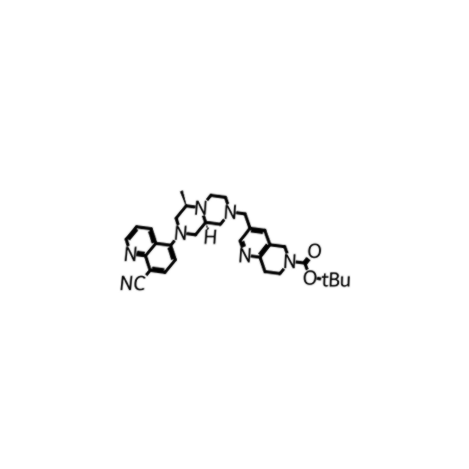 C[C@@H]1CN(c2ccc(C#N)c3ncccc23)C[C@@H]2CN(Cc3cnc4c(c3)CN(C(=O)OC(C)(C)C)CC4)CCN21